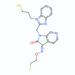 O=C1/C(=N\OCCF)c2ccncc2N1Cc1nc2ccccc2n1CCCS